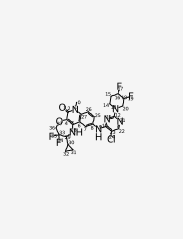 Cn1c(=O)c2c(c3cc(Nc4nc(N5CC[C@@H](F)[C@@H](F)C5)ncc4Cl)ccc31)NC(C1CC1)C(F)(F)CO2